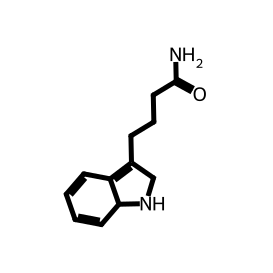 NC(=O)CCCC1=C2C=CC=CC2NC1